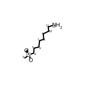 CS(=O)(=O)CCCCCCCCN